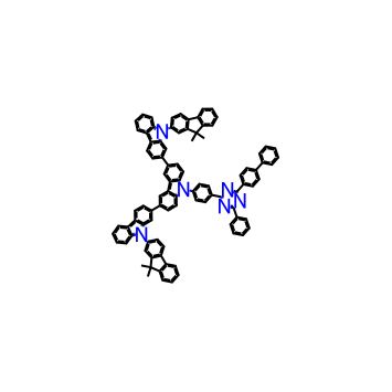 CC1(C)c2ccccc2-c2ccc(-n3c4ccccc4c4ccc(-c5ccc6c(c5)c5cc(-c7ccc8c9ccccc9n(-c9ccc%10c(c9)C(C)(C)c9ccccc9-%10)c8c7)ccc5n6-c5ccc(-c6nc(-c7ccccc7)nc(-c7ccc(-c8ccccc8)cc7)n6)cc5)cc43)cc21